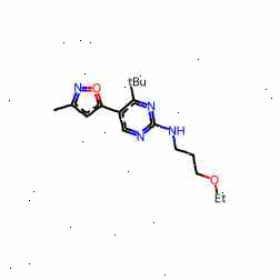 CCOCCCNc1ncc(-c2cc(C)no2)c(C(C)(C)C)n1